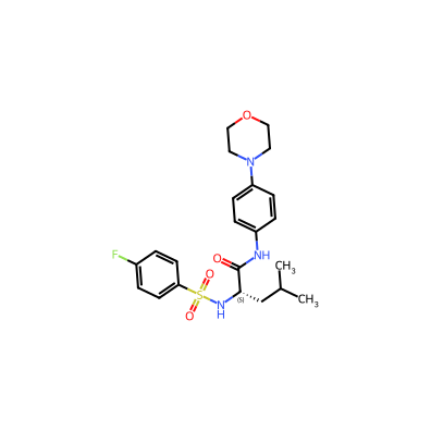 CC(C)C[C@H](NS(=O)(=O)c1ccc(F)cc1)C(=O)Nc1ccc(N2CCOCC2)cc1